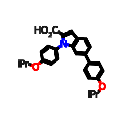 CC(C)Oc1ccc(-c2ccc3cc(C(=O)O)n(-c4ccc(OC(C)C)cc4)c3c2)cc1